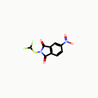 O=C1c2ccc([N+](=O)[O-])cc2C(=O)N1SC(F)F